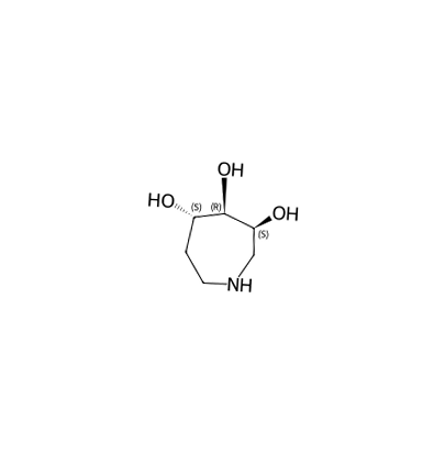 O[C@@H]1[C@@H](O)CCNC[C@@H]1O